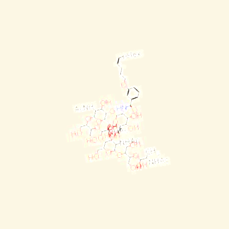 CCCCCC/C=C\CCCOc1cccc(C(=O)N[C@@H]2C(O[C@H]3C(O)C(NC(C)=O)[C@H](OC(CO)C(CO)O[C@@H](O[C@H]4C(O)C(NC(C)=O)C(OC(CO)C(CO)OC(O)[C@H](C)NC(C)=O)O[C@H]4CO)[C@H](C)NC(C)=O)O[C@H]3CO)OC(CO)[C@@H](O)[C@@H]2O)c1